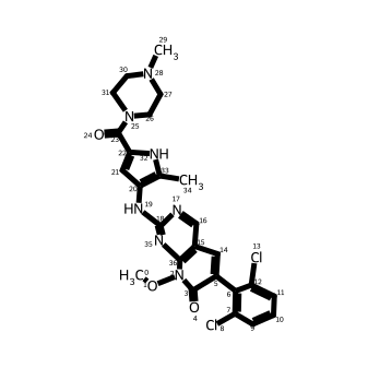 COn1c(=O)c(-c2c(Cl)cccc2Cl)cc2cnc(Nc3cc(C(=O)N4CCN(C)CC4)[nH]c3C)nc21